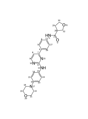 O=C(Nc1ccc(-c2ccnc(Nc3ccc(N4CCOCC4)cc3)n2)cc1)C1CCOC1